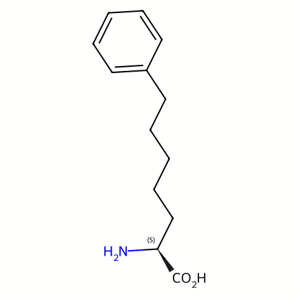 N[C@@H](CCCCCc1ccccc1)C(=O)O